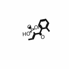 CC=C(C(=O)c1ccccc1C)P(=O)(O)O